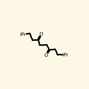 CC(C)CCC(=O)CCC(=O)CCC(C)C